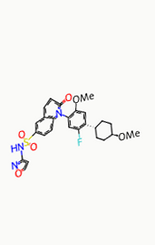 COc1cc([C@H]2CC[C@H](OC)CC2)c(F)cc1-n1c(=O)ccc2cc(S(=O)(=O)Nc3ccon3)ccc21